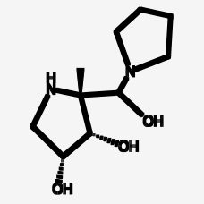 C[C@]1(C(O)N2CCCC2)NC[C@@H](O)[C@H]1O